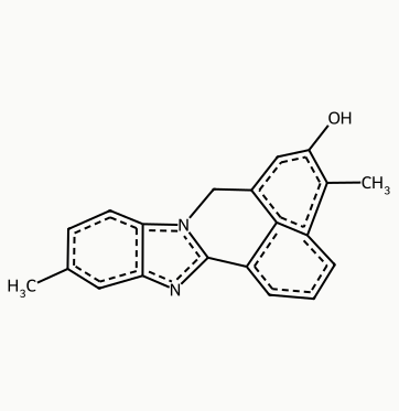 Cc1ccc2c(c1)nc1n2Cc2cc(O)c(C)c3cccc-1c23